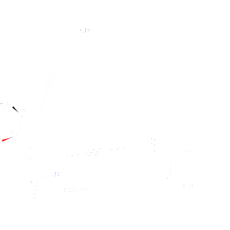 CCCC#CC[C@H](C)[C@H](O)/C=C/[C@H]1CCC(=O)N1CC#Cc1ccc(C(=O)OC)s1